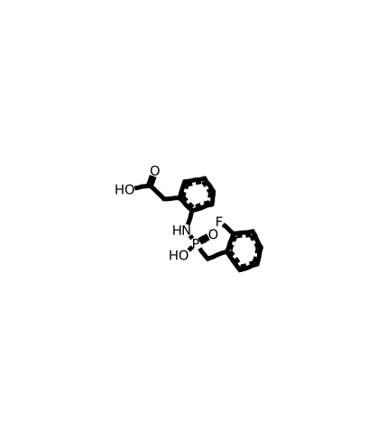 O=C(O)Cc1ccccc1NP(=O)(O)Cc1ccccc1F